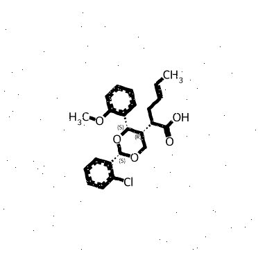 CC=CCC(C(=O)O)[C@@H]1CO[C@H](c2ccccc2Cl)O[C@@H]1c1ccccc1OC